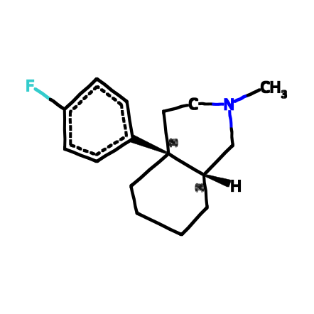 CN1CC[C@@]2(c3ccc(F)cc3)CCCC[C@H]2C1